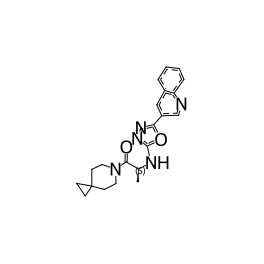 C[C@H](Nc1nnc(-c2cnc3ccccc3c2)o1)C(=O)N1CCC2(CC1)CC2